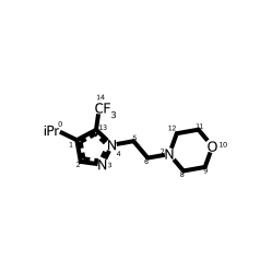 CC(C)c1cnn(CCN2CCOCC2)c1C(F)(F)F